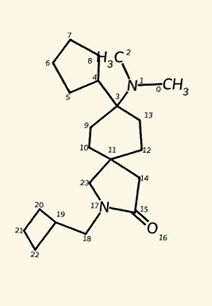 CN(C)C1(C2CCCC2)CCC2(CC1)CC(=O)N(CC1CCC1)C2